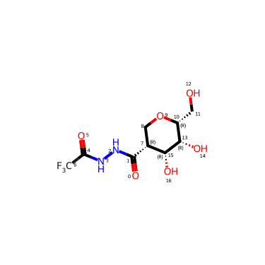 O=C(NNC(=O)C(F)(F)F)[C@@H]1CO[C@H](CO)[C@H](O)[C@@H]1O